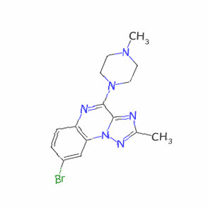 Cc1nc2c(N3CCN(C)CC3)nc3ccc(Br)cc3n2n1